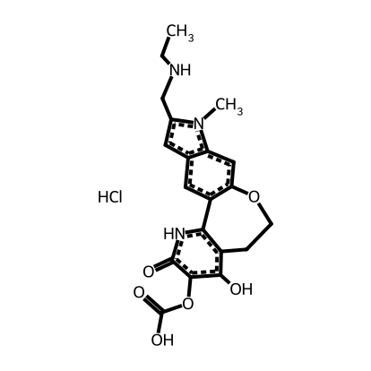 CCNCc1cc2cc3c(cc2n1C)OCCc1c-3[nH]c(=O)c(OC(=O)O)c1O.Cl